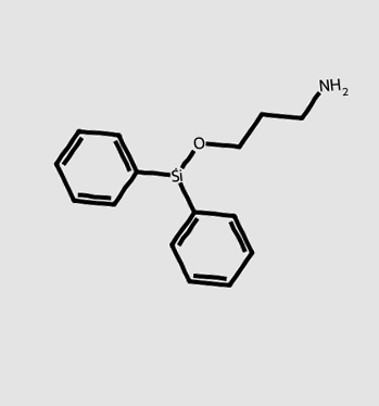 NCCCO[Si](c1ccccc1)c1ccccc1